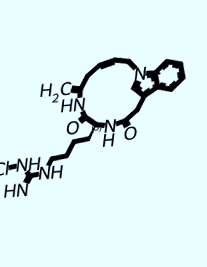 C=C1CC=CCn2cc(c3ccccc32)CC(=O)N[C@@H](CCCCNC(=N)NCl)C(=O)N1